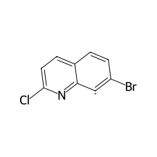 Clc1ccc2ccc(Br)[c]c2n1